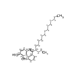 CCCCCCCCCCCCCCC(CCC)C(=Nc1ccc(O)c(O)c1)c1ccccc1